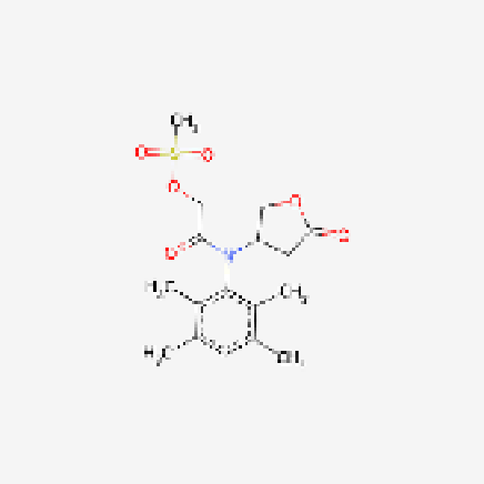 Cc1cc(C)c(C)c(N(C(=O)COS(C)(=O)=O)C2COC(=O)C2)c1C